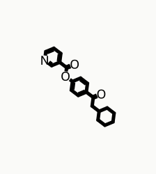 O=C(CC1CCCCC1)c1ccc(OC(=O)c2cccnc2)cc1